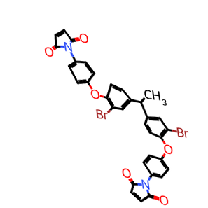 CC(c1ccc(Oc2ccc(N3C(=O)C=CC3=O)cc2)c(Br)c1)c1ccc(Oc2ccc(N3C(=O)C=CC3=O)cc2)c(Br)c1